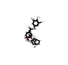 COC(=O)N(C)C[C@@H]1CC2CC[C@@H](C1)[C@H]2S(=O)(=O)c1cc(C(=O)Nc2cc(F)c(F)c(F)c2)ccc1Cl